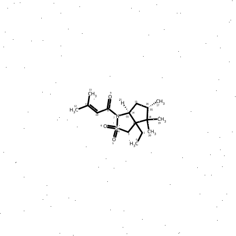 CCC12CS(=O)(=O)N(C(=O)C=C(C)C)[C@H]1C[C@H](C)C2(C)C